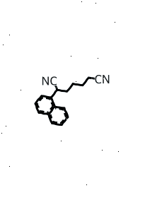 N#CCCCCC(C#N)c1cccc2ccccc12